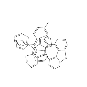 Cc1ccc2c(-c3ccoc3)c3ccccc3c(-c3cccc4sc5cccc(-c6c7ccccc7c(-c7ccccc7)c7ccccc67)c5c34)c2c1